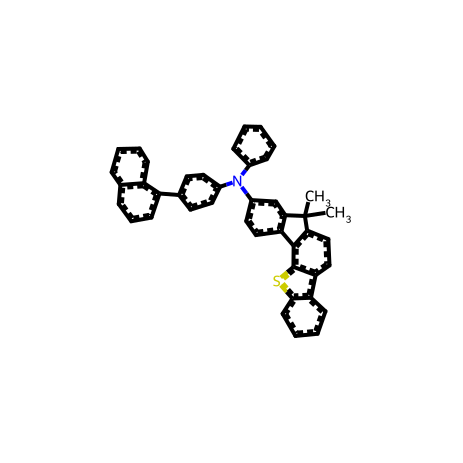 CC1(C)c2cc(N(c3ccccc3)c3ccc(-c4cccc5ccccc45)cc3)ccc2-c2c1ccc1c2sc2ccccc21